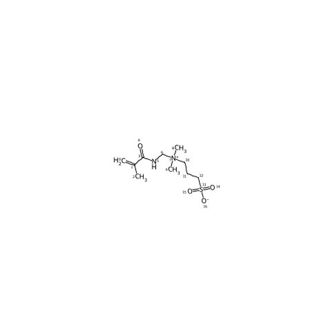 C=C(C)C(=O)NC[N+](C)(C)CCCS(=O)(=O)[O-]